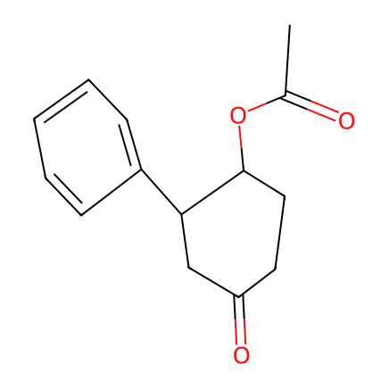 CC(=O)OC1CCC(=O)CC1c1ccccc1